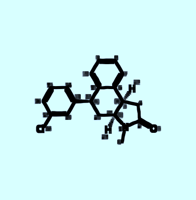 CN1C(=O)C[C@@H]2c3ccccc3[C@H](c3cccc(Cl)c3)C[C@@H]21